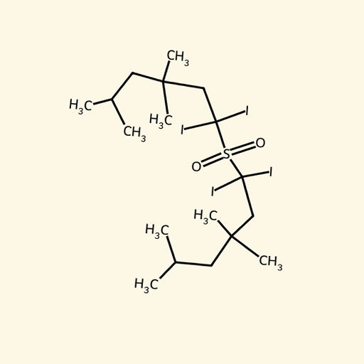 CC(C)CC(C)(C)CC(I)(I)S(=O)(=O)C(I)(I)CC(C)(C)CC(C)C